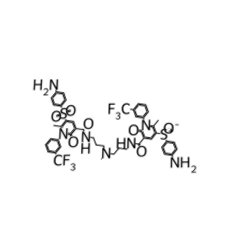 Cc1c([S+]([O-])c2ccc(N)cc2)cc(C(=O)NCCCN(C)CCCNC(=O)c2cc(S(=O)(=O)c3ccc(N)cc3)c(C)n(-c3cccc(C(F)(F)F)c3)c2=O)c(=O)n1-c1cccc(C(F)(F)F)c1